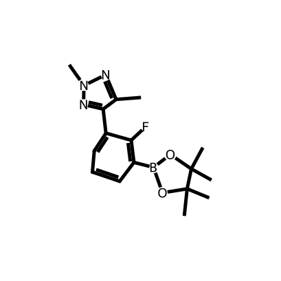 Cc1nn(C)nc1-c1cccc(B2OC(C)(C)C(C)(C)O2)c1F